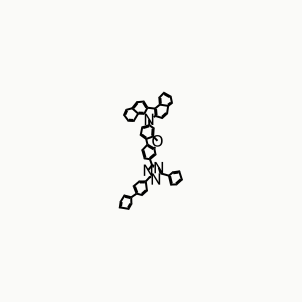 c1ccc(-c2ccc(-c3nc(-c4ccccc4)nc(-c4ccc5c(c4)oc4cc(-n6c7ccc8ccccc8c7c7ccc8ccccc8c76)ccc45)n3)cc2)cc1